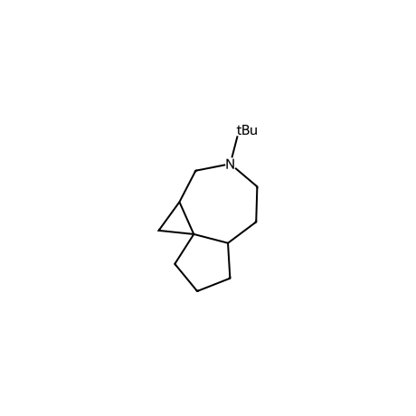 CC(C)(C)N1CCC2CCCC23CC3C1